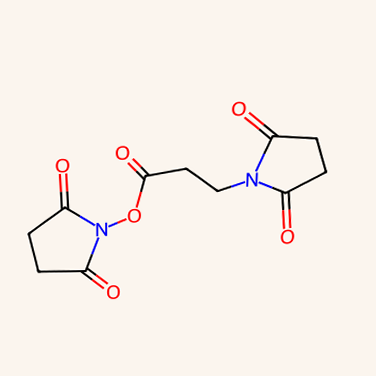 O=C(CCN1C(=O)CCC1=O)ON1C(=O)CCC1=O